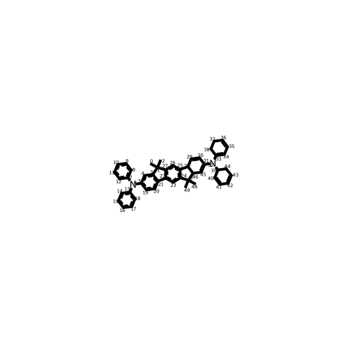 CC1(C)c2cc(N(c3ccccc3)c3ccccc3)ccc2-c2cc3c(cc21)C1C=CC(N(C2=CC=CCC2)C2C=CC=CC2)=CC1C3(C)C